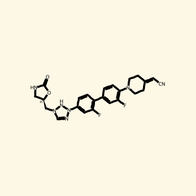 N#CC=C1CCN(c2ccc(-c3ccc(N4N=CN(C[C@H]5CNC(=O)O5)N4)cc3F)cc2F)CC1